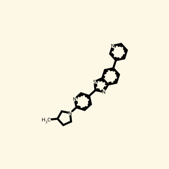 CC1CCN(c2ccc(-c3nc4ccc(-c5cccnc5)cc4s3)cn2)C1